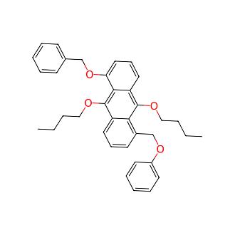 CCCCOc1c2cccc(OCc3ccccc3)c2c(OCCCC)c2cccc(COc3ccccc3)c12